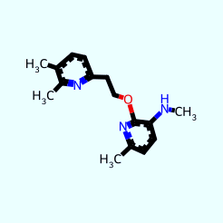 CNc1ccc(C)nc1OCCc1ccc(C)c(C)n1